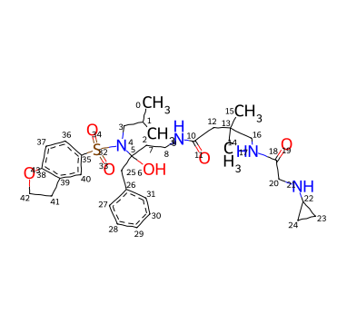 CC(C)CN(C(O)(CCNC(=O)CC(C)(C)CNC(=O)CNC1CC1)Cc1ccccc1)S(=O)(=O)c1ccc2c(c1)CCO2